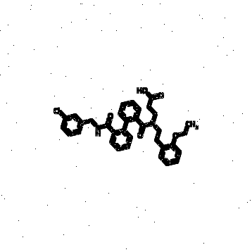 CCOc1ccccc1CCN(CCC(=O)O)C(=O)c1ccccc1-c1ccccc1C(=O)NCc1cccc(Cl)c1